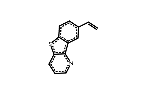 C=Cc1ccc2sc3cccnc3c2c1